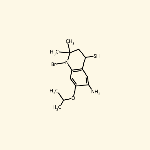 CC(C)Oc1cc2c(cc1N)C(S)CC(C)(C)N2Br